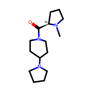 CN1CCC[C@@H]1C(=O)N1CCC(N2CCCC2)CC1